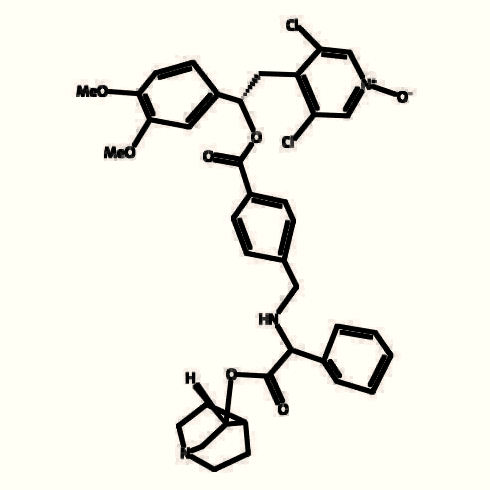 COc1ccc([C@H](Cc2c(Cl)c[n+]([O-])cc2Cl)OC(=O)c2ccc(CNC(C(=O)O[C@H]3CN4CCC3CC4)c3ccccc3)cc2)cc1OC